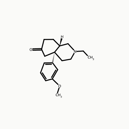 CCN1CC[C@@]2(c3cccc(OC)c3)CC(=O)CC[C@@H]2C1